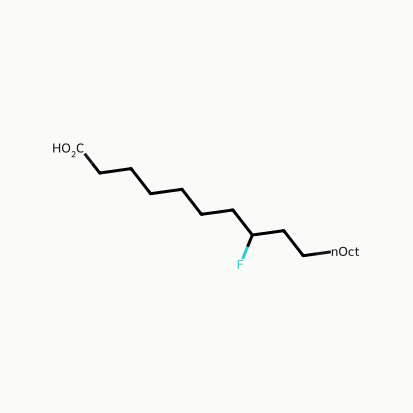 CCCCCCCCCCC(F)CCCCCCC(=O)O